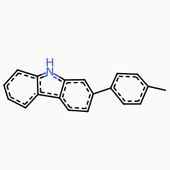 Cc1ccc(-c2ccc3c(c2)[nH]c2ccccc23)cc1